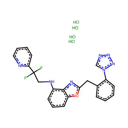 Cl.Cl.Cl.Cl.FC(F)(CNc1cccc2oc(Cc3ccccc3-n3cnnn3)nc12)c1ccccn1